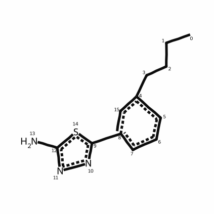 CCCCc1cccc(-c2nnc(N)s2)c1